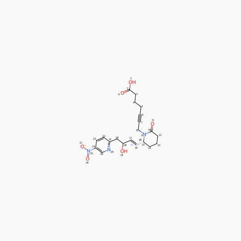 O=C(O)CCCC#CCN1C(=O)CCC[C@@H]1/C=C/C(O)Cc1ccc([N+](=O)[O-])cn1